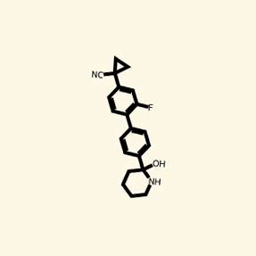 N#CC1(c2ccc(-c3ccc(C4(O)CCCCN4)cc3)c(F)c2)CC1